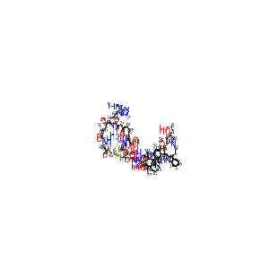 CCC1(O)CC2CN(CCc3c([nH]c4ccccc34)[C@@](C)(c3cc4c(cc3OC)N(C)[C@H]3C(O)(C(=O)NNC(=O)OCCSSCCCC(=O)[C@H](C)NC(=O)[C@H](C)CC(=O)[C@H](CCCNC(=N)N)NC(=O)[C@H](C)CC(=O)CC[C@H](NC(C)=O)C(=O)O)[C@H](O)[C@]5(CC)C=CCN6CC[C@]43[C@@H]65)C2)C1